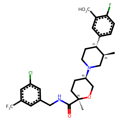 C[C@H]1CN([C@@H]2CC[C@](C)(C(=O)NCc3cc(Cl)cc(C(F)(F)F)c3)OC2)CC[C@@H]1c1ccc(F)c(C(=O)O)c1